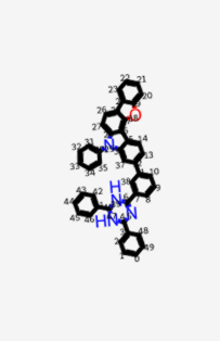 c1ccc(C2N=C(c3cccc(-c4ccc5c6c7oc8ccccc8c7ccc6n(-c6ccccc6)c5c4)c3)NC(c3ccccc3)N2)cc1